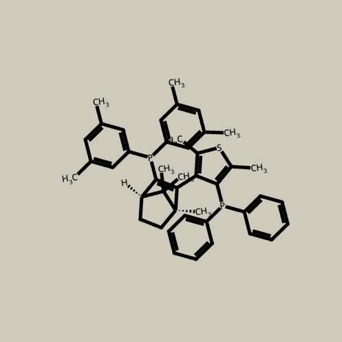 Cc1cc(C)cc(P(C2=C(c3c(C)sc(C)c3P(c3ccccc3)c3ccccc3)[C@@]3(C)CC[C@@H]2C3(C)C)c2cc(C)cc(C)c2)c1